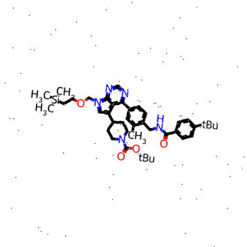 Cc1cc(-c2ncnc3c2c(C2CCN(C(=O)OC(C)(C)C)CC2)cn3COCC[Si](C)(C)C)ccc1CNC(=O)c1ccc(C(C)(C)C)cc1